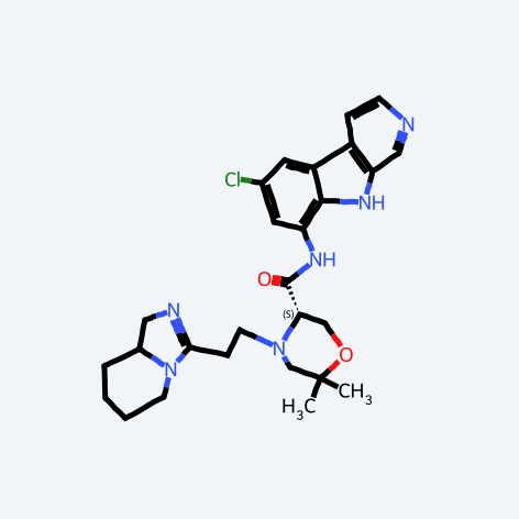 CC1(C)CN(CCC2=NCC3CCCCN23)[C@H](C(=O)Nc2cc(Cl)cc3c2[nH]c2cnccc23)CO1